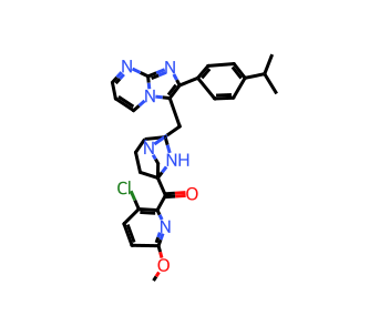 COc1ccc(Cl)c(C(=O)C23CCC(CN2)N(Cc2c(-c4ccc(C(C)C)cc4)nc4ncccn24)C3)n1